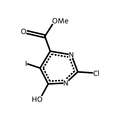 COC(=O)c1nc(Cl)nc(O)c1I